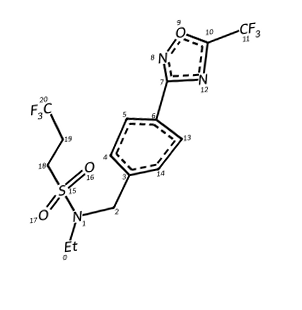 CCN(Cc1ccc(-c2noc(C(F)(F)F)n2)cc1)S(=O)(=O)CCC(F)(F)F